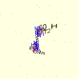 COC(=O)NC(C(=O)N1CCC[C@H]1c1nc2nc(-c3ccc4cc(-c5cnc6[nH]c([C@@H]7CCCN7C(=O)C(NC(=O)O)C(C)C)nc6n5)ccc4c3)cnc2[nH]1)C(C)C